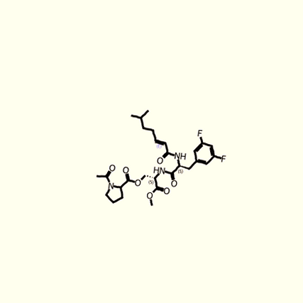 COC(=O)[C@H](COC(=O)C1CCCN1C(C)=O)NC(=O)[C@H](Cc1cc(F)cc(F)c1)NC(=O)/C=C/CCC(C)C